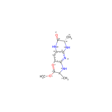 COC(=O)C(C)Nc1ccc2c(n1)N[C@@H](C)C(=O)N2